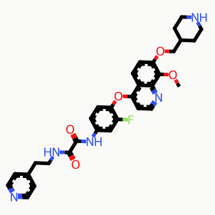 COc1c(OCC2CCNCC2)ccc2c(Oc3ccc(NC(=O)C(=O)NCCc4ccncc4)cc3F)ccnc12